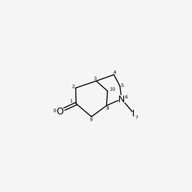 O=C1CC2CCN(I)C(C1)C2